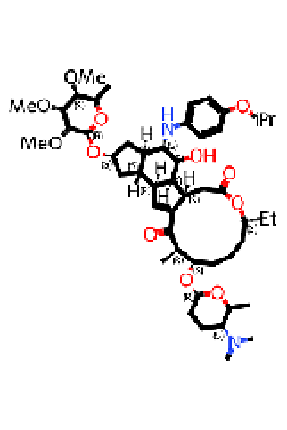 CC[C@H]1CCC[C@H](O[C@H]2CC[C@H](N(C)C)C(C)O2)[C@@H](C)C(=O)C2=C[C@H]3[C@@H]4C[C@H](O[C@@H]5OC(C)[C@H](OC)C(OC)C5OC)C[C@H]4[C@H](Nc4ccc(OC(C)C)cc4)[C@@H](O)[C@H]3[C@@H]2CC(=O)O1